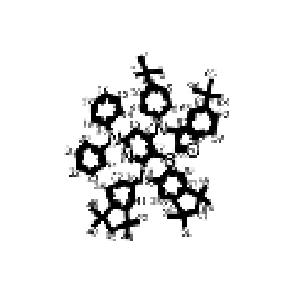 CC(C)(C)c1ccc(N2c3cc(N(c4ccccc4)c4ccccc4)nc4c3B(c3cc5c(cc3N4c3ccc4c(c3)C(C)(C)CC4(C)C)C(C)(C)CC5(C)C)c3oc4ccc(C(C)(C)C)cc4c32)cc1